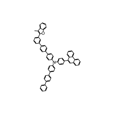 Cc1c(-c2cccc(-c3ccc(-c4ccc(N(c5ccc(-c6ccc(-c7ccccc7)cc6)cc5)c5ccc(-c6cc7ccccc7c7ccccc67)cc5)cc4)cc3)c2)oc2ccccc12